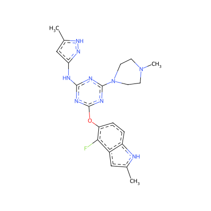 Cc1cc(Nc2nc(Oc3ccc4[nH]c(C)cc4c3F)nc(N3CCN(C)CC3)n2)n[nH]1